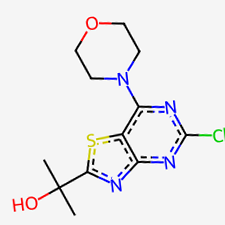 CC(C)(O)c1nc2nc(Cl)nc(N3CCOCC3)c2s1